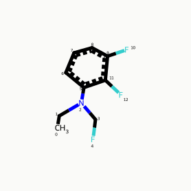 CCN(CF)c1cccc(F)c1F